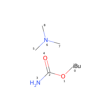 CCC(C)OC(N)=O.CN(C)C